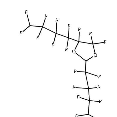 FC(F)C(F)(F)C(F)(F)C(F)(F)C1OC(F)(F)C(F)(C(F)(F)C(F)(F)C(F)(F)C(F)F)O1